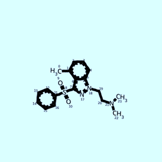 Cc1cccc2c1c(S(=O)(=O)c1ccccc1)nn2CCN(C)C